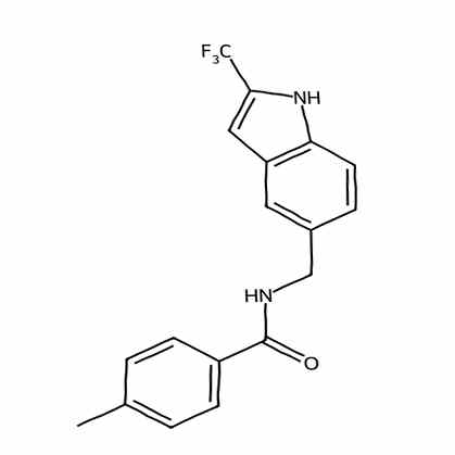 Cc1ccc(C(=O)NCc2ccc3[nH]c(C(F)(F)F)cc3c2)cc1